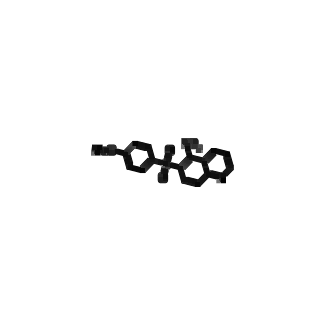 COc1ccc(S(=O)(=O)c2ccc3ncccc3c2[N+](=O)[O-])cc1